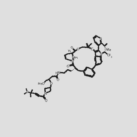 COCC(CC(=O)NCCC[C@H]1Cc2cccc(c2)-c2ccc3c(c2)c(c(-c2cccnc2[C@H](C)OC)n3CC(F)(F)F)CC(C)(C)COC(=O)[C@@H]2CCCN(N2)C1=O)OC1CN(C(=O)C#CC(C)(C)N(C)C)C1